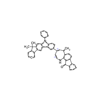 C=C1/C=C(c2ccc3c(c2)c2cc4c(cc2n3-c2ccccc2)C(C)(C)c2ccccc2-4)\C=C/Nc2c1ccc1c2C(=O)c2ccccc2-1